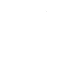 Oc1cncc(/C=C/c2ccncc2)c1